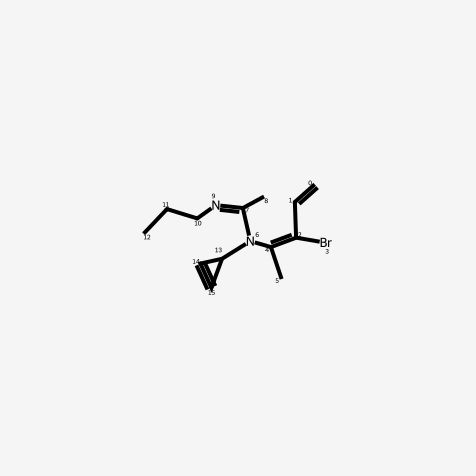 C=C/C(Br)=C(/C)N(/C(C)=N\CCC)C1C#C1